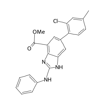 COC(=O)c1cc(-c2ccc(C)cc2Cl)cc2[nH]c(Nc3ccccc3)nc12